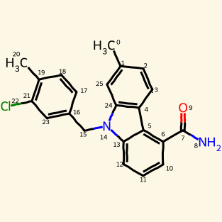 Cc1c[c]c2c3c(C(N)=O)cccc3n(Cc3ccc(C)c(Cl)c3)c2c1